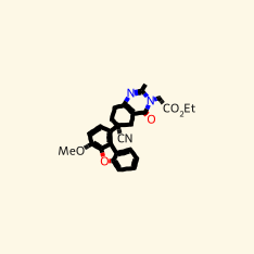 CCOC(=O)Cn1c(C)nc2c(c1=O)CC(C#N)(c1ccc(OC)c3oc4ccccc4c13)CC2